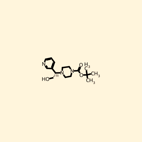 CC(C)(C)OC(=O)N1CCN([C@H](CO)c2cccnc2)CC1